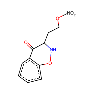 O=C1c2ccccc2ONC1CCO[N+](=O)[O-]